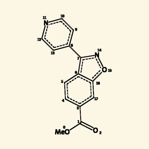 COC(=O)c1ccc2c(-c3ccncc3)noc2c1